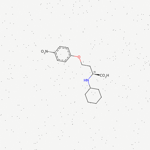 O=C(O)[C@H](CCOc1ccc([N+](=O)[O-])cc1)NC1CCCCC1